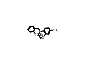 CCOC(=O)c1ccccc1CN1CCOc2cc(N)ccc21